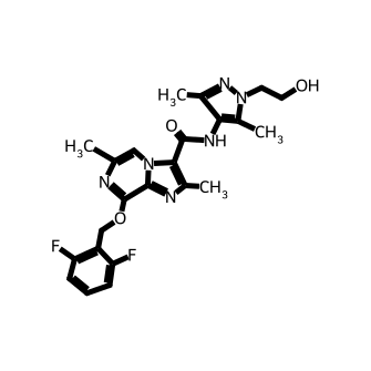 Cc1cn2c(C(=O)Nc3c(C)nn(CCO)c3C)c(C)nc2c(OCc2c(F)cccc2F)n1